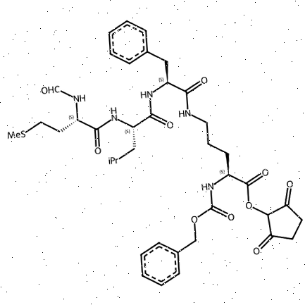 CSCC[C@H](NC=O)C(=O)N[C@@H](CC(C)C)C(=O)N[C@@H](Cc1ccccc1)C(=O)NCCC[C@H](NC(=O)OCc1ccccc1)C(=O)OC1C(=O)CCC1=O